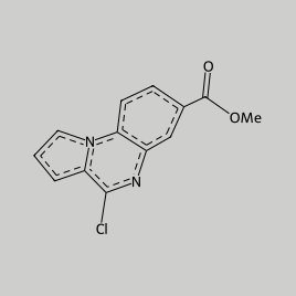 COC(=O)c1ccc2c(c1)nc(Cl)c1cccn12